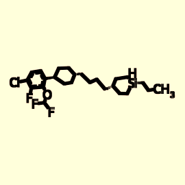 CCC[Si@H]1CC[C@H](CCCC[C@H]2CC[C@H](c3ccc(Cl)c(F)c3OC(F)F)CC2)CC1